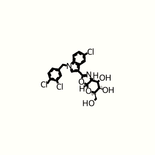 OC[C@H]1O[C@@H]2OC(c3cn(Cc4ccc(Cl)c(Cl)c4)c4ccc(Cl)cc34)=N[C@@H]2C(O)[C@@H]1O